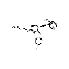 COCCOc1ccc(C#C[C@@]2(O)CN3CCC2CC3)c(Cc2ccc(F)cc2)n1